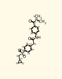 CN(C)C(=O)c1ccc(NC(=O)Cc2ccc(S(=O)(=O)CC3CC3)cc2)cc1